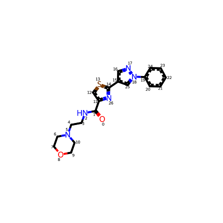 O=C(NCCN1CCOCC1)c1csc(-c2cnn(-c3ccccc3)c2)n1